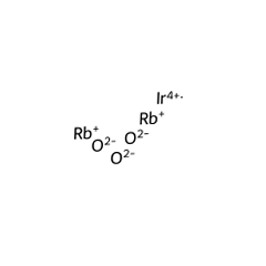 [Ir+4].[O-2].[O-2].[O-2].[Rb+].[Rb+]